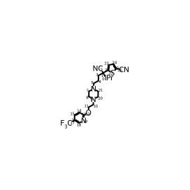 CC(C)C(C#N)(CCCN1CCN(CCOc2ccc(C(F)(F)F)cn2)CC1)c1ccc(C#N)s1